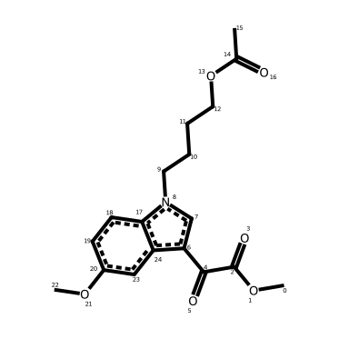 COC(=O)C(=O)c1cn(CCCCOC(C)=O)c2ccc(OC)cc12